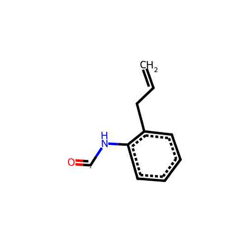 C=CCc1ccccc1N[C]=O